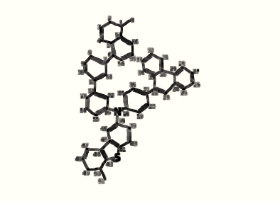 CC1CC=Cc2c(-c3cccc(-c4cccc(N(c5ccc(-c6cc7ccccc7c7ccccc67)cc5)c5ccc6sc7c(c6c5)C=CCC7C)c4)c3)cccc21